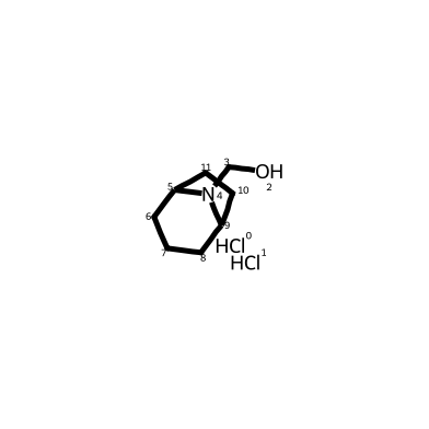 Cl.Cl.OCN1C2CCCC1CC2